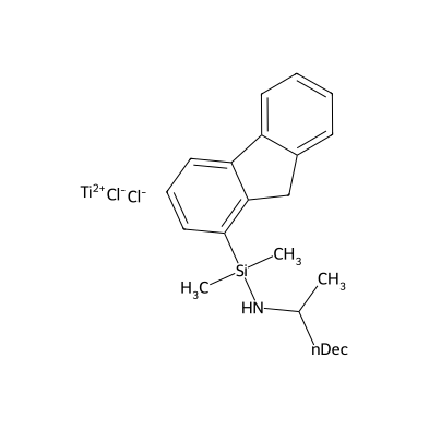 CCCCCCCCCCC(C)N[Si](C)(C)c1cccc2c1Cc1ccccc1-2.[Cl-].[Cl-].[Ti+2]